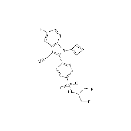 N#Cc1c(-c2ccc(S(=O)(=O)NC(CF)CF)cn2)n(C2=CC=C2)c2ncc(F)cc12